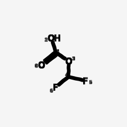 O=C(O)OC(F)F